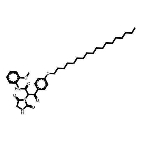 CCCCCCCCCCCCCCCCCCOc1ccc(C(=O)C(C(=O)Nc2ccccc2OC)N2C(=O)CNC2=O)cc1